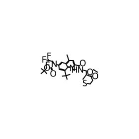 Cc1cc(C(=O)NCC2CSCCC23OCCO3)nc2c(C(C)(C)C)cc(N(CC(F)(F)F)C(=O)OC(C)(C)C)cc12